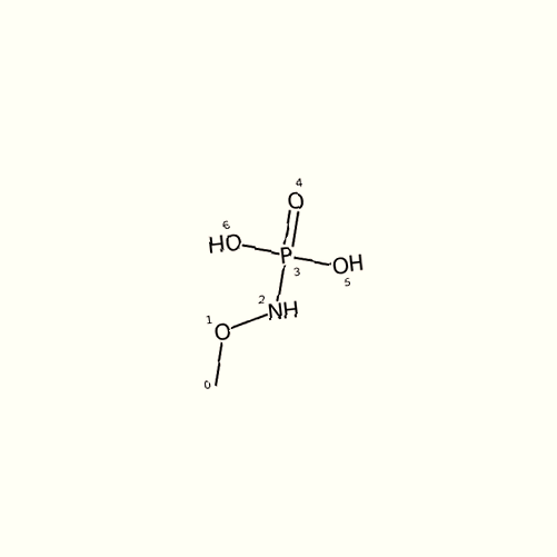 CONP(=O)(O)O